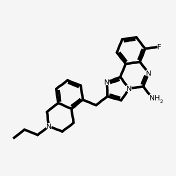 CCCN1CCc2c(Cc3cn4c(N)nc5c(F)cccc5c4n3)cccc2C1